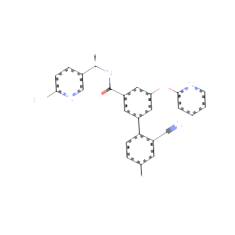 Cc1ccc(-c2cc(Oc3ccccn3)cc(C(=O)N[C@H](C)c3ccc(C)nc3)c2)c(C#N)c1